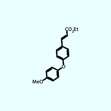 CCOC(=O)C=Cc1ccc(Oc2ccc(OC)cc2)cc1